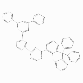 c1ccc(-c2cc(-c3ccccc3)nc(-c3cccc(-c4cccc(-c5cccc6c5Sc5ccccc5C6(c5ccccc5)c5ccccc5)c4)c3)c2)cc1